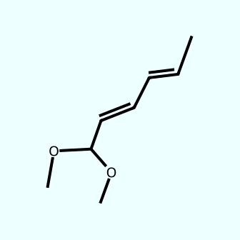 CC=CC=CC(OC)OC